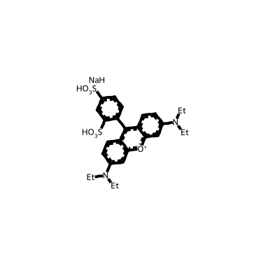 CCN(CC)c1ccc2c(-c3ccc(S(=O)(=O)O)cc3S(=O)(=O)O)c3ccc(N(CC)CC)cc3[o+]c2c1.[NaH]